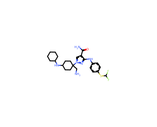 NCC1(n2cc(C(N)=O)c(Nc3ccc(SC(F)F)cc3)n2)CCC(NC2CCCCC2)CC1